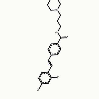 O=C(NCCCN1CCCCC1)c1ccc(/C=C/c2ccc(Cl)cc2Cl)cc1